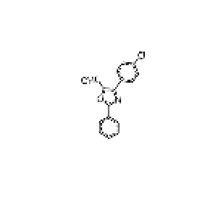 O=Cc1oc(-c2ccccc2)nc1-c1ccc(Cl)cc1